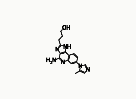 Cc1cncn1-c1ccc2c(c1)nc(N)c1nc(CCCO)[nH]c12